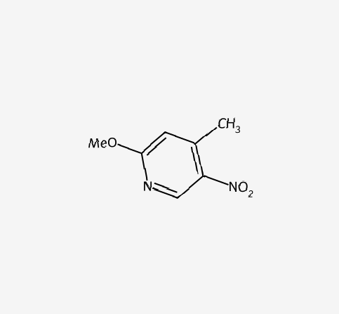 COc1cc(C)c([N+](=O)[O-])cn1